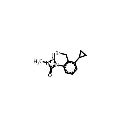 Cn1[nH]n(-c2cccc(C3CC3)c2CBr)c1=O